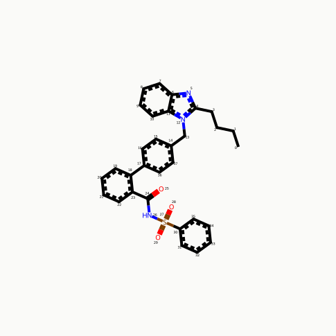 CCCCc1nc2ccccc2n1Cc1ccc(-c2ccccc2C(=O)NS(=O)(=O)c2ccccc2)cc1